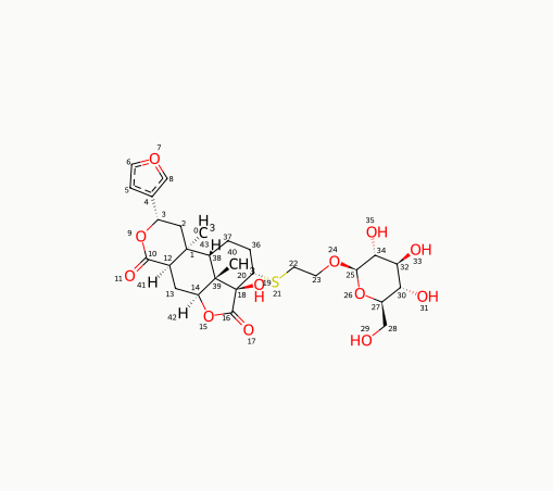 C[C@@]12C[C@@H](c3ccoc3)OC(=O)[C@@H]1C[C@@H]1OC(=O)[C@@]3(O)[C@@H](SCCO[C@@H]4O[C@H](CO)[C@@H](O)[C@H](O)[C@H]4O)CC[C@@H]2[C@@]13C